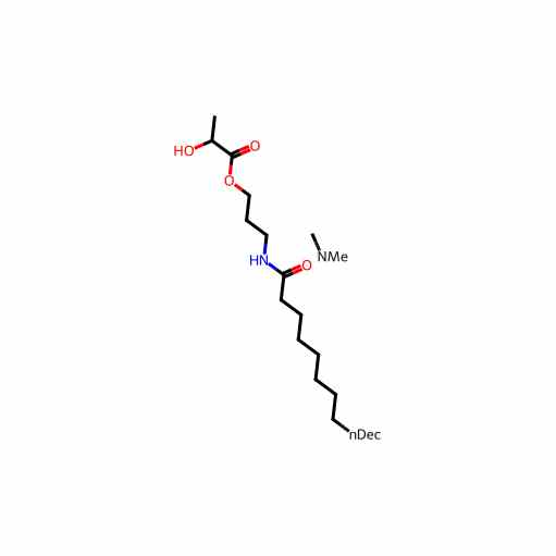 CCCCCCCCCCCCCCCCCC(=O)NCCCOC(=O)C(C)O.CNC